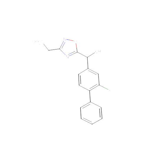 CC(c1ccc(-c2ccccc2)c(F)c1)c1nc(CC(=O)O)no1